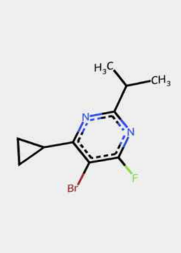 CC(C)c1nc(F)c(Br)c(C2CC2)n1